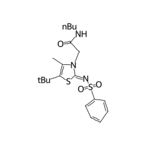 CCCCNC(=O)Cn1c(C)c(C(C)(C)C)s/c1=N\S(=O)(=O)c1ccccc1